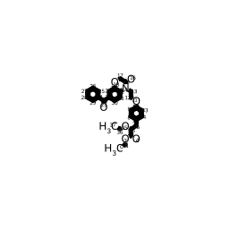 CCOC(=O)C(Cc1ccc(OCCN2C(=O)COc3cc(C(=O)c4ccccc4)ccc32)cc1)OCC